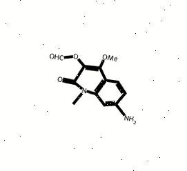 COc1c(OC=O)c(=O)n(C)c2cc(N)ccc12